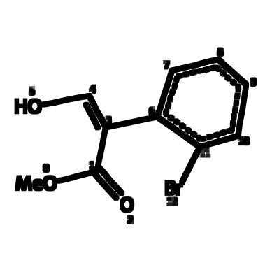 COC(=O)C(=CO)c1ccccc1Br